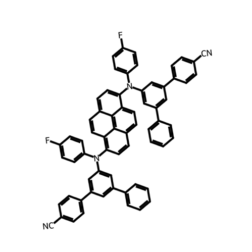 N#Cc1ccc(-c2cc(-c3ccccc3)cc(N(c3ccc(F)cc3)c3ccc4ccc5c(N(c6ccc(F)cc6)c6cc(-c7ccccc7)cc(-c7ccc(C#N)cc7)c6)ccc6ccc3c4c65)c2)cc1